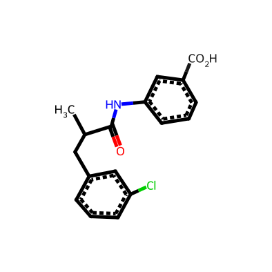 CC(Cc1cccc(Cl)c1)C(=O)Nc1cccc(C(=O)O)c1